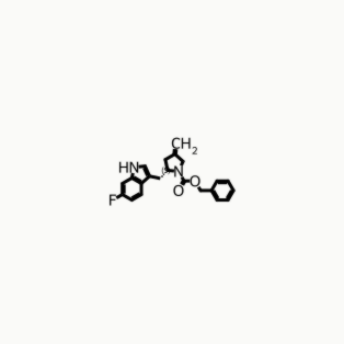 C=C1C[C@@H](Cc2c[nH]c3cc(F)ccc23)N(C(=O)OCc2ccccc2)C1